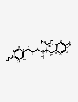 Fc1ccc(CCCNC(Cc2ccc(F)cc2)C(F)F)cc1